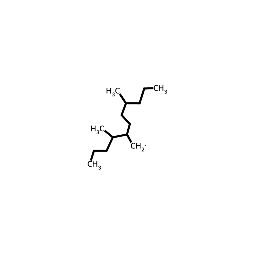 [CH2]C(CCC(C)CCC)C(C)CCC